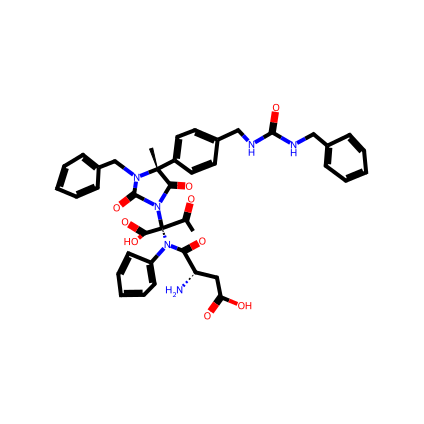 CC(=O)[C@@](C(=O)O)(N1C(=O)N(Cc2ccccc2)[C@](C)(c2ccc(CNC(=O)NCc3ccccc3)cc2)C1=O)N(C(=O)[C@@H](N)CC(=O)O)c1ccccc1